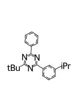 CC(C)c1cccc(-c2nc(-c3ccccc3)nc(C(C)(C)C)n2)c1